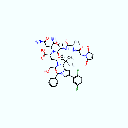 C[C@H](NC(=O)CN1C(=O)C=CC1=O)C(=O)N[C@@H](C)C(=O)N([C@@H](CC(N)=O)C(N)=O)[C@@H](CCN(C(=O)CO)[C@@H](c1cc(-c2cc(F)ccc2F)cn1Cc1ccccc1)C(C)(C)C)C(=O)O